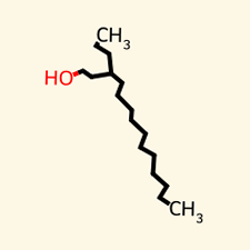 CCCCCCCCCCCC(CCC)CCO